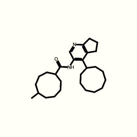 CC1CCCCC(C(=O)Nc2cnc3c(c2C2CCCCCCCC2)CCC3)CCC1